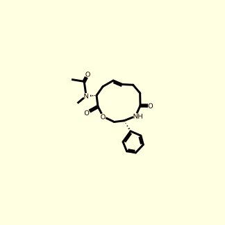 CC(=O)N(C)[C@@H]1C/C=C/CCC(=O)N[C@H](c2ccccc2)COC1=O